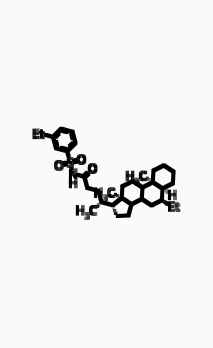 CCc1cccc(S(=O)(=O)NC(=O)CC[C@@H](C)[C@H]2CCC3C4C[C@H](CC)[C@@H]5CCCC[C@]5(C)C4CC[C@@]32C)c1